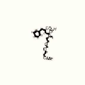 COCCOCOCCN(C)C(=O)CC(Cc1ccccc1)C(=O)O